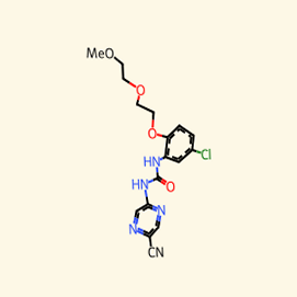 COCCOCCOc1ccc(Cl)cc1NC(=O)Nc1cnc(C#N)cn1